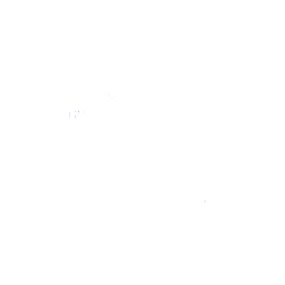 CC(=O)CCCCCCC(=O)NC(C)(C)C